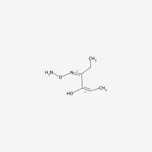 C/C=C(O)\C(CC)=N/ON